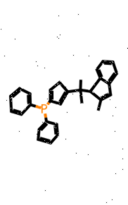 CC1=Cc2ccccc2C1C(C)(C)C1=CC(P(c2ccccc2)c2ccccc2)=CC1